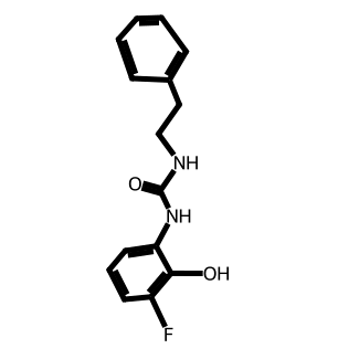 O=C(NCCc1ccccc1)Nc1cccc(F)c1O